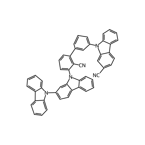 N#Cc1ccc2c3ccccc3n(-c3cccc(-c4cccc(-n5c6ccccc6c6ccc(-n7c8ccccc8c8ccccc87)cc65)c4C#N)c3)c2c1